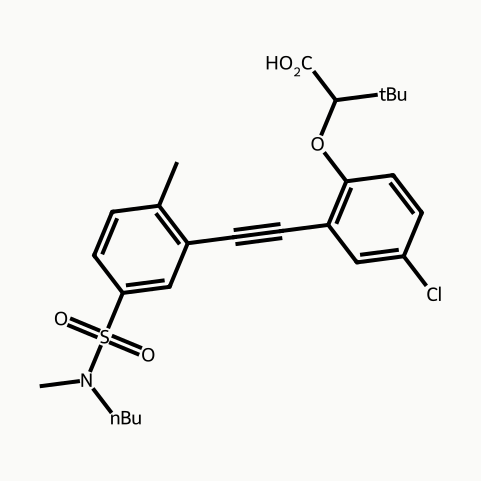 CCCCN(C)S(=O)(=O)c1ccc(C)c(C#Cc2cc(Cl)ccc2OC(C(=O)O)C(C)(C)C)c1